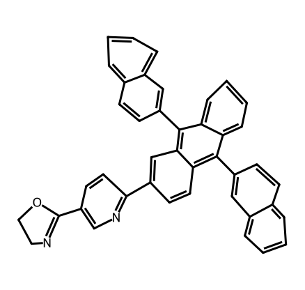 c1ccc2cc(-c3c4ccccc4c(-c4ccc5ccccc5c4)c4cc(-c5ccc(C6=NCCO6)cn5)ccc34)ccc2c1